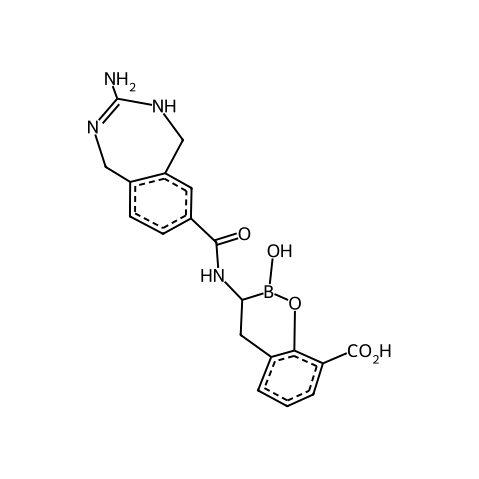 NC1=NCc2ccc(C(=O)NC3Cc4cccc(C(=O)O)c4OB3O)cc2CN1